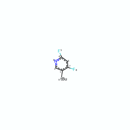 CC(C)(C)c1cnc(F)cc1F